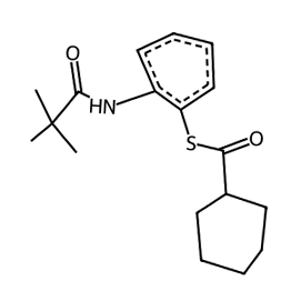 CC(C)(C)C(=O)Nc1ccccc1SC(=O)C1CCCCC1